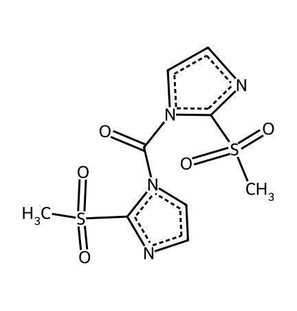 CS(=O)(=O)c1nccn1C(=O)n1ccnc1S(C)(=O)=O